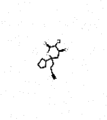 C#CCCC1(C2CCCC2)CC(=O)C(Cl)C(=O)O1